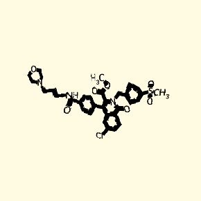 COC(=O)c1c(-c2ccc(C(=O)NCCCN3CCOCC3)cc2)c2cc(Cl)ccc2c(=O)n1Cc1ccc(S(C)(=O)=O)cc1